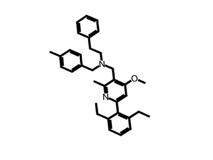 CCc1cccc(CC)c1-c1cc(OC)c(CN(CCc2ccccc2)Cc2ccc(C)cc2)c(C)n1